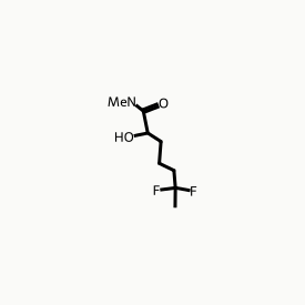 CNC(=O)C(O)CCCC(C)(F)F